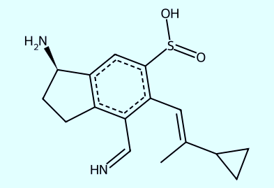 C/C(=C\c1c(S(=O)O)cc2c(c1C=N)CC[C@H]2N)C1CC1